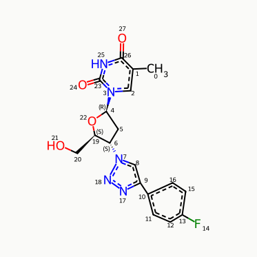 Cc1cn([C@H]2C[C@H](n3cc(-c4ccc(F)cc4)nn3)[C@@H](CO)O2)c(=O)[nH]c1=O